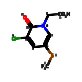 O=C(O)Cn1cc(SC(F)(F)F)cc(Cl)c1=O